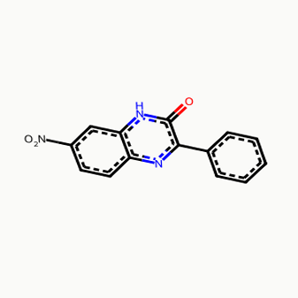 O=c1[nH]c2cc([N+](=O)[O-])ccc2nc1-c1ccccc1